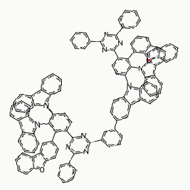 c1ccc(-c2nc(-c3cccc(-c4ccc5c(c4)c4ccccc4n5-c4ccc(-c5nc(-c6ccccc6)nc(-c6ccccc6)n5)c(-c5cccc6c5oc5ccccc56)c4-n4c5ccccc5c5ccccc54)c3)nc(-c3ccc(-n4c5ccccc5c5ccccc54)c(-n4c5ccccc5c5ccccc54)c3-c3ccc4oc5ccccc5c4c3)n2)cc1